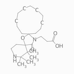 CC1(C)NCCC2(OC3(CCCCCCCCCCC3)N(CCC(=O)O)C2=O)C1(C)C